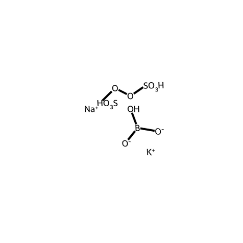 O=S(=O)(O)OOS(=O)(=O)O.[K+].[Na+].[O-]B([O-])O